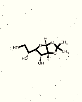 CC1(C)O[C@H]2OC([C@H](O)CO)[C@H](O)[C@H]2O1